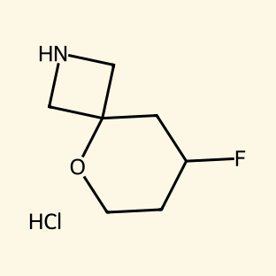 Cl.FC1CCOC2(CNC2)C1